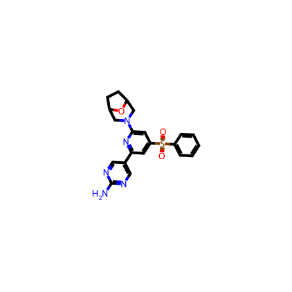 Nc1ncc(-c2cc(S(=O)(=O)c3ccccc3)cc(N3CC4CCC(C3)O4)n2)cn1